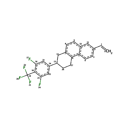 C=Cc1ccc2c3c(ccc2c1)CC(c1cc(F)c(C(F)(F)F)c(F)c1)CC3